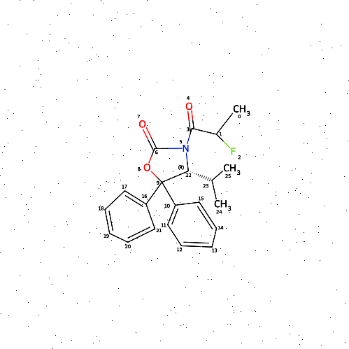 CC(F)C(=O)N1C(=O)OC(c2ccccc2)(c2ccccc2)[C@H]1C(C)C